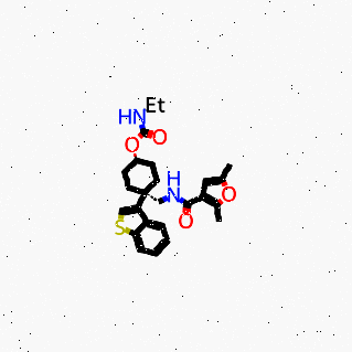 CCNC(=O)O[C@H]1CC[C@](CNC(=O)c2cc(C)oc2C)(c2csc3ccccc32)CC1